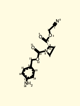 N#CCOC(=O)[C@@H]1CCN1C(=O)OCc1ccc(N)cc1